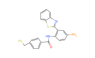 O=C(Nc1ccc(P)cc1-c1nc2ccccc2s1)c1ccc(CS)cc1